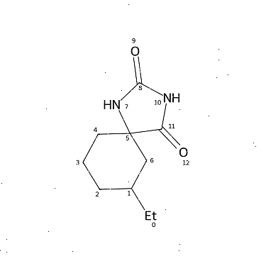 CCC1CCCC2(C1)NC(=O)NC2=O